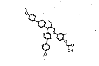 CCC(CSc1ccc(OCC(=O)O)c(C)c1)=C(c1ccc(-c2ccc(OC)cc2)cc1)c1ccc(-c2ccc(OC)cc2)cc1